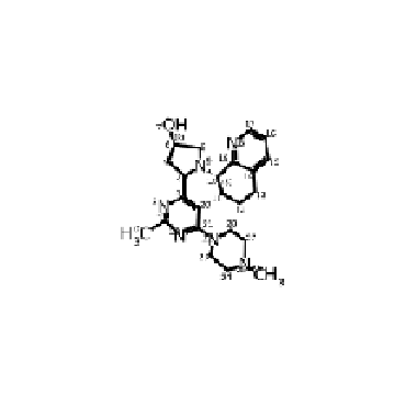 Cc1nc(C2C[C@@H](O)CN2[C@H]2CCCc3cccnc32)cc(N2CCN(C)CC2)n1